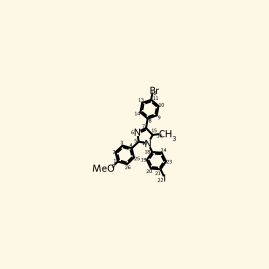 COc1ccc(C2N=C(c3ccc(Br)cc3)C(C)N2c2ccc(I)cc2)cc1